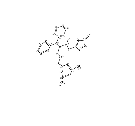 CN(CC1=NC(=S)N=N1)C(COCc1cc(C(F)(F)F)cc(C(F)(F)F)c1)C(c1ccccc1)c1ccccc1